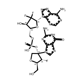 Nc1nc2c(ncn2[C@]2(OP(O)(=S)OC[C@H]3O[C@@H](n4nnc5c(N)ncnc54)C(F)(F)[C@@H]3O)CO[C@H](CO)[C@H]2F)c(=O)[nH]1